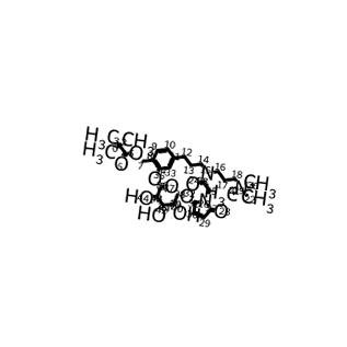 CC(C)(C)C(=O)OCc1ccc(CCCN(CCC[N+](C)(C)C)C(=O)CN2C(=O)C=CC2=O)cc1O[C@@H]1OC[C@@H](O)[C@H](O)[C@H]1O